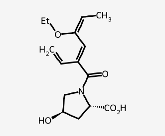 C=C/C(=C\C(=C/C)OCC)C(=O)N1C[C@H](O)C[C@H]1C(=O)O